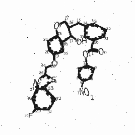 O=C(Oc1ccc([N+](=O)[O-])cc1)c1cccc(CC2COc3ccc(OCc4nc5cc(F)ccc5s4)cc3C2O)c1